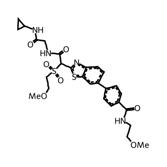 COCCNC(=O)c1ccc(-c2ccc3nc(C(C(=O)NCC(=O)NC4CC4)S(=O)(=O)CCOC)sc3c2)cc1